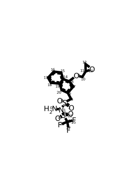 NN(S(=O)(=O)Cc1cc(OCC2CO2)c2ccccc2c1)S(=O)(=O)C(F)(F)F